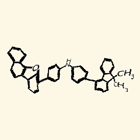 CC1(C)c2ccccc2-c2c(-c3ccc(Nc4ccc(-c5cccc6c5oc5c7ccccc7ccc65)cc4)cc3)cccc21